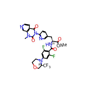 COC(=O)[C@H](Cc1ccc(-n2c(=O)c3ccncc3n(C)c2=O)nc1)NC(=O)c1c(F)cc(N2CCOC[C@@H]2C(F)(F)F)cc1F